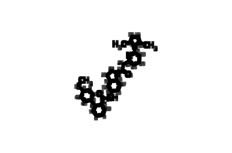 CSc1ccc(-c2ccccc2C(=O)Nc2ccc3c(c2)CCN3C(=O)Cc2cccc(-n3c(C)ccc3C)n2)cc1